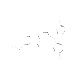 CC(C)c1ccccc1O/C(=N/c1cc(=O)n(CCCO)c(=O)n1C)N(C)Cc1ccc(Cl)cc1